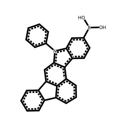 OB(O)c1ccc2c3c4cccc5c4c(cc3n(-c3ccccc3)c2c1)-c1ccccc1-5